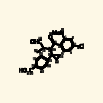 CNc1cc(Cl)ccc1C(=O)N(C(C)C=O)C1(c2ccc(C(=O)O)cc2)CC1